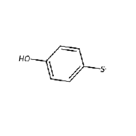 Oc1ccc([S])cc1